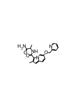 Cc1cc2ccc(OCc3ccccn3)cn2c1C(=O)NC(C)C(N)=O